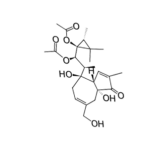 CC(=O)O[C@H]([C@@H](C)[C@@]1(O)CC=C(CO)C[C@]2(O)C(=O)C(C)=C[C@@H]12)[C@]1(OC(C)=O)[C@H](C)C1(C)C